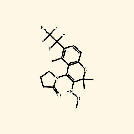 CONC1=C(N2CCCC2=O)c2c(ccc(C(F)(F)C(F)(F)F)c2C)OC1(C)C